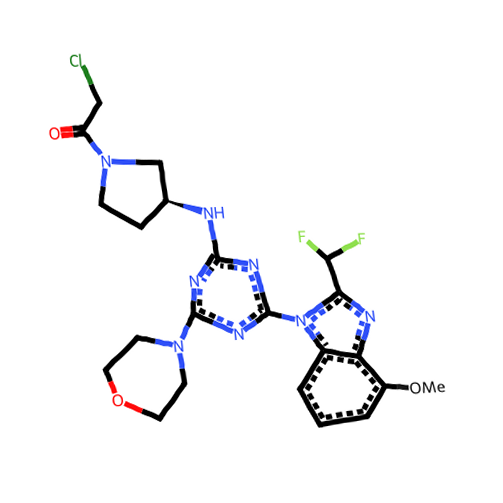 COc1cccc2c1nc(C(F)F)n2-c1nc(N[C@H]2CCN(C(=O)CCl)C2)nc(N2CCOCC2)n1